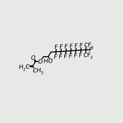 C=C(C)C(=O)OCC(O)CC(F)(F)C(F)(F)C(F)(F)C(F)(F)C(F)(F)C(F)(F)C(F)(C(F)(F)F)C(F)(F)F